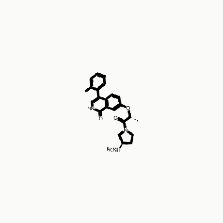 CC(=O)N[C@@H]1CCN(C(=O)[C@@H](C)Oc2ccc3c(-c4ccccc4C)c[nH]c(=O)c3c2)C1